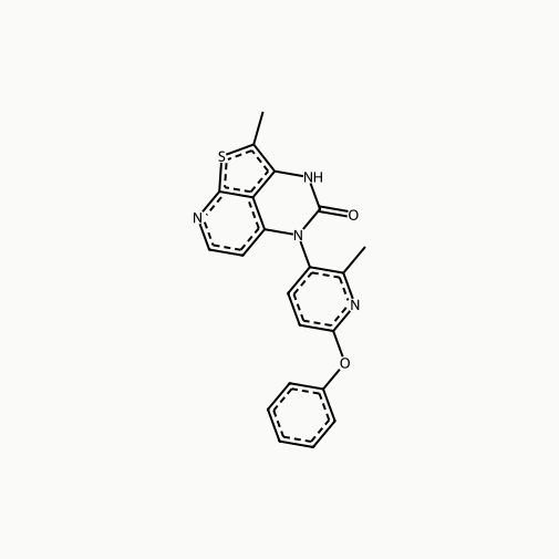 Cc1nc(Oc2ccccc2)ccc1N1C(=O)Nc2c(C)sc3nccc1c23